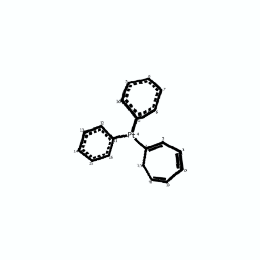 C1=CC=[C]([Pt]([c]2ccccc2)[c]2ccccc2)CC=C1